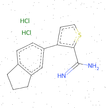 Cl.Cl.N=C(N)c1sccc1-c1ccc2c(c1)CCC2